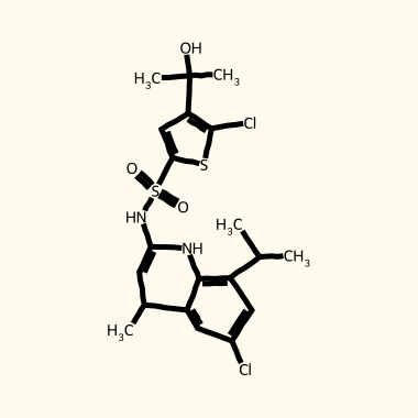 CC(C)c1cc(Cl)cc2c1NC(NS(=O)(=O)c1cc(C(C)(C)O)c(Cl)s1)=CC2C